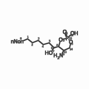 CCCCCCCCCCCCCCC(O)[C@H]1OP(=O)(O)OCC1N